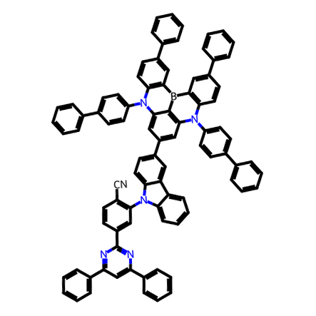 N#Cc1ccc(-c2nc(-c3ccccc3)cc(-c3ccccc3)n2)cc1-n1c2ccccc2c2cc(-c3cc4c5c(c3)N(c3ccc(-c6ccccc6)cc3)c3ccc(-c6ccccc6)cc3B5c3cc(-c5ccccc5)ccc3N4c3ccc(-c4ccccc4)cc3)ccc21